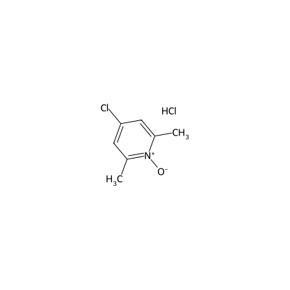 Cc1cc(Cl)cc(C)[n+]1[O-].Cl